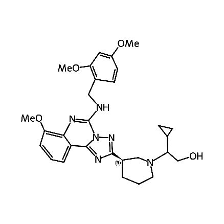 COc1ccc(CNc2nc3c(OC)cccc3c3nc([C@@H]4CCCN(C(CO)C5CC5)C4)nn23)c(OC)c1